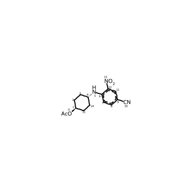 CC(=O)O[C@H]1CC[C@H](Nc2ccc(C#N)cc2[N+](=O)[O-])CC1